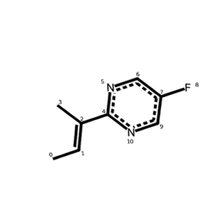 CC=C(C)c1ncc(F)cn1